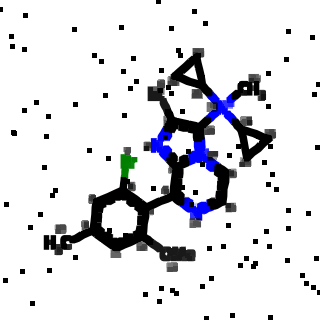 CCc1nc2c(-c3c(Br)cc(C)cc3OC)nccn2c1[N+](C)(C1CC1)C1CC1